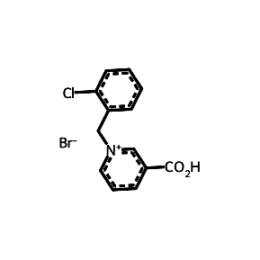 O=C(O)c1ccc[n+](Cc2ccccc2Cl)c1.[Br-]